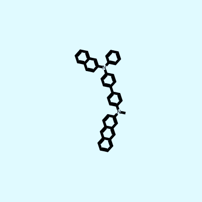 CN(c1ccc(-c2ccc(N(c3ccccc3)c3ccc4ccccc4c3)cc2)cc1)c1ccc2cc3ccccc3cc2c1